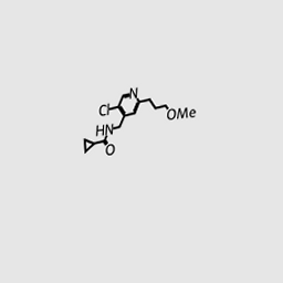 COCCCc1cc(CNC(=O)C2CC2)c(Cl)cn1